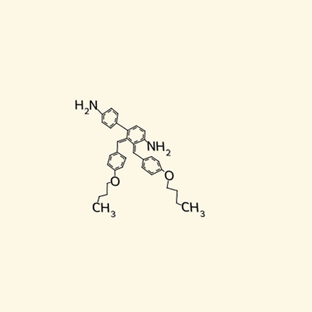 CCCCOc1ccc(C=c2c(N)ccc(-c3ccc(N)cc3)c2=Cc2ccc(OCCCC)cc2)cc1